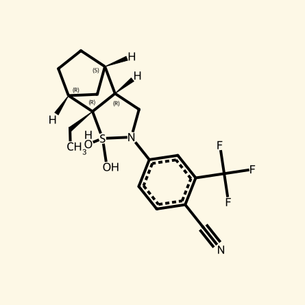 CC[C@@]12[C@@H]3CC[C@@H](C3)[C@@H]1CN(c1ccc(C#N)c(C(F)(F)F)c1)S2(O)O